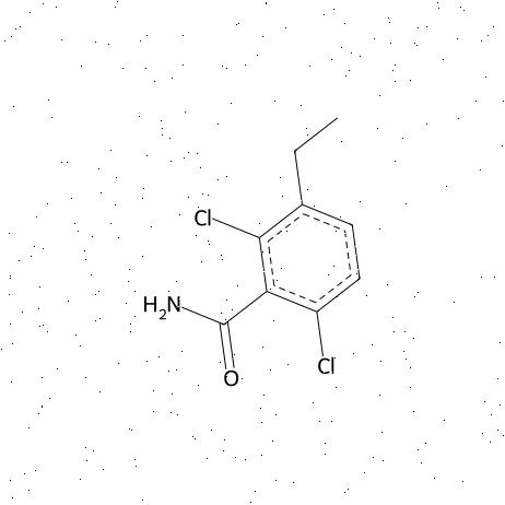 CCc1ccc(Cl)c(C(N)=O)c1Cl